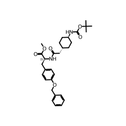 COC(=O)[C@H](Cc1ccc(OCc2ccccc2)cc1)NC(=O)C[C@H]1CC[C@H](NC(=O)OC(C)(C)C)CC1